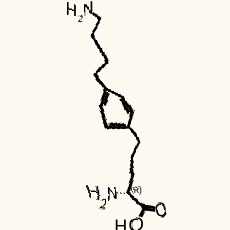 NCCCCc1ccc(CCC[C@@H](N)C(=O)O)cc1